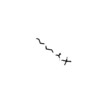 CC(C)(C)NC(=O)OCCSCCO